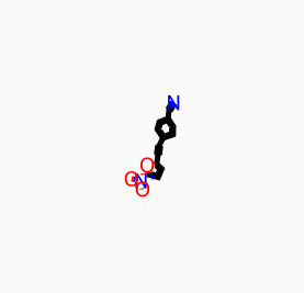 N#Cc1ccc(C#Cc2ccc([N+](=O)[O-])o2)cc1